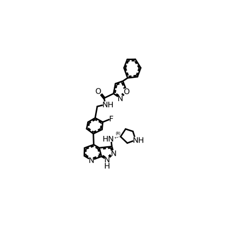 O=C(NCc1ccc(-c2ccnc3[nH]nc(N[C@@H]4CCNC4)c23)cc1F)c1cc(-c2ccccc2)on1